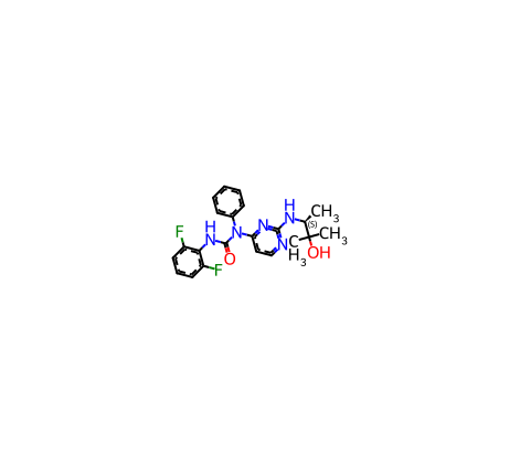 C[C@H](Nc1nccc(N(C(=O)Nc2c(F)cccc2F)c2ccccc2)n1)C(C)(C)O